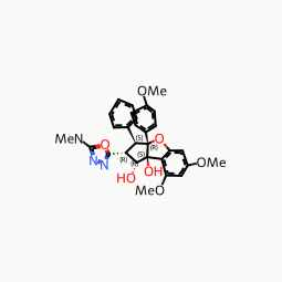 CNc1nnc([C@H]2[C@@H](O)[C@@]3(O)c4c(OC)cc(OC)cc4O[C@@]3(c3ccc(OC)cc3)[C@@H]2c2ccccc2)o1